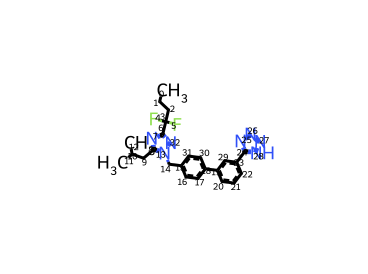 CCCC(F)(F)c1nc(CC(C)C)n(Cc2ccc(-c3cccc(-c4nnn[nH]4)c3)cc2)n1